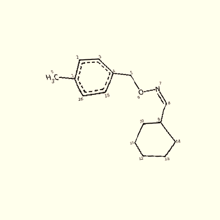 Cc1ccc(CO/N=[C]\C2CCCCC2)cc1